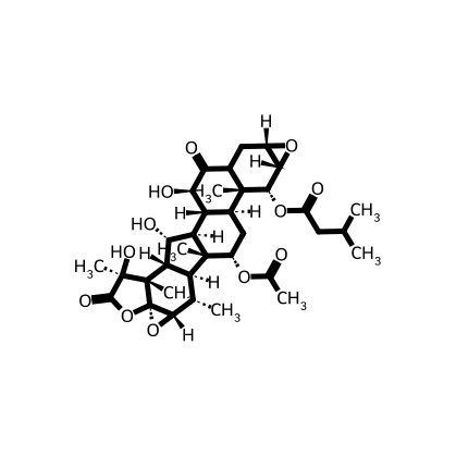 CC(=O)O[C@H]1C[C@H]2[C@H]([C@@H]3[C@@H](O)[C@@H]4[C@H]([C@H](C)[C@@H]5O[C@@]56OC(=O)[C@@](C)(O)[C@]46C)[C@]31C)[C@@H](O)C(=O)C1C[C@@H]3O[C@@H]3[C@H](OC(=O)CC(C)C)[C@@]12C